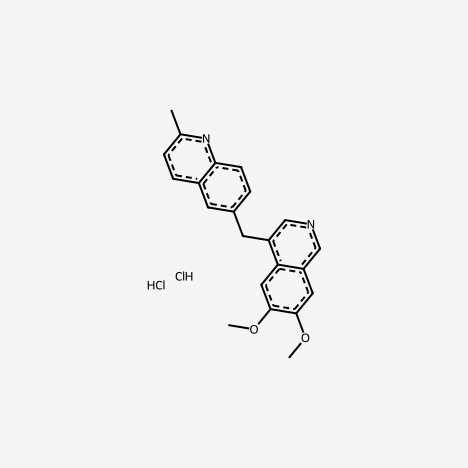 COc1cc2cncc(Cc3ccc4nc(C)ccc4c3)c2cc1OC.Cl.Cl